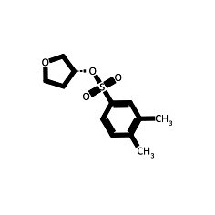 Cc1ccc(S(=O)(=O)O[C@@H]2CCOC2)cc1C